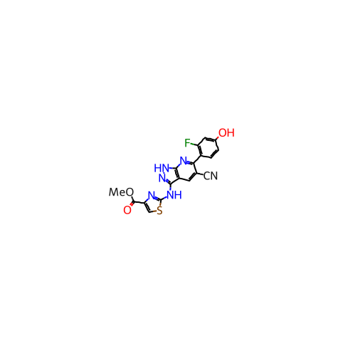 COC(=O)c1csc(Nc2n[nH]c3nc(-c4ccc(O)cc4F)c(C#N)cc23)n1